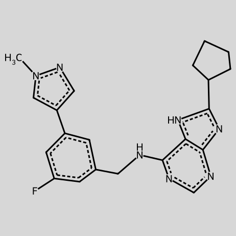 Cn1cc(-c2cc(F)cc(CNc3ncnc4nc(C5CCCC5)[nH]c34)c2)cn1